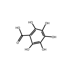 O=C(O)c1c(O)c(O)c(O)c(O)c1O